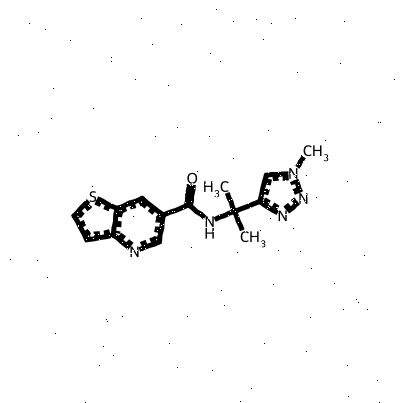 Cn1cc(C(C)(C)NC(=O)c2cnc3ccsc3c2)nn1